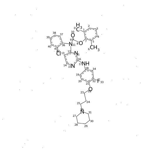 Cc1cccc(C)c1OC(=O)N(c1ccnc(Nc2ccc(OCCCN3CCCCC3)c(F)c2)n1)c1ccccc1Cl